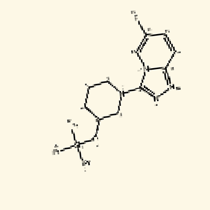 CC(C)[Si](OC1CCCN(c2nnc3ccc(F)cn23)C1)(C(C)C)C(C)C